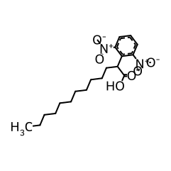 CCCCCCCCCCCC(C(=O)O)c1c([N+](=O)[O-])cccc1[N+](=O)[O-]